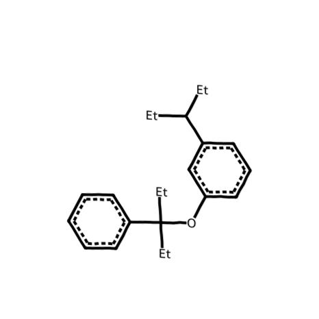 CCC(CC)c1cccc(OC(CC)(CC)c2ccccc2)c1